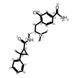 CN(C)[C@H](CNC(=O)C1CC1(C)c1ccccc1)Cc1ccc(C(N)=O)cc1Cl